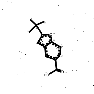 CC(C)(C)c1cc2cc(C(=O)O)ccc2o1